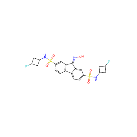 O=S(=O)(NC1CC(F)C1)c1ccc2c(c1)C(=NO)c1cc(S(=O)(=O)NC3CC(F)C3)ccc1-2